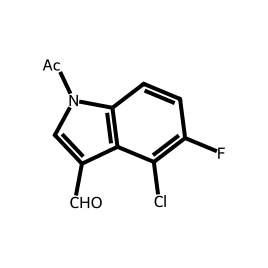 CC(=O)n1cc(C=O)c2c(Cl)c(F)ccc21